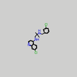 CC(C)(CNc1ccnc2cc(Cl)ccc12)NCc1cccc(Cl)c1